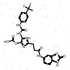 O=C(CCc1nc(OC(=O)O)c(NC(=O)Nc2ccc(C(F)(F)F)cc2)[nH]1)Nc1ccc2[nH]c(=O)oc2c1